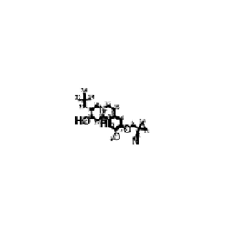 COc1cc2c(cc1OCC1(C#N)CC1)CCN1C[C@@H](CC(C)(C)C)[C@H](O)C[C@H]21